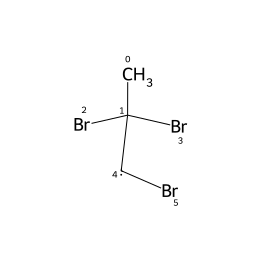 CC(Br)(Br)[CH]Br